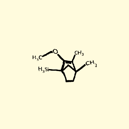 COC1=C(C)C2(C)CCC1([SiH3])C2